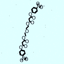 O=C(CC(=O)Oc1ccc([N+](=O)[O-])cc1)OCCOCCOC(=O)CC(=O)Oc1ccc([N+](=O)[O-])cc1